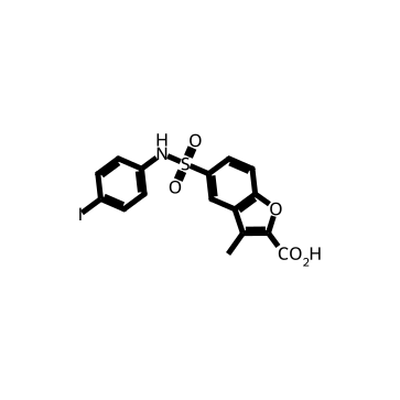 Cc1c(C(=O)O)oc2ccc(S(=O)(=O)Nc3ccc(I)cc3)cc12